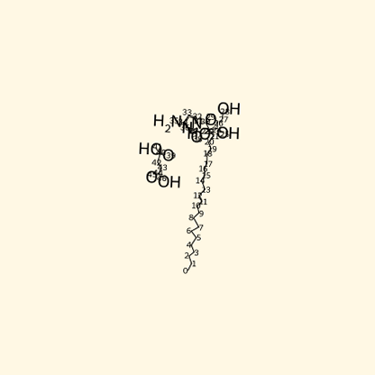 CCCCCCCCCCCCCCCCCCCCCC[C@@]1(O)[C@H](O)[C@@H](CO)O[C@H]1n1ccc(N)nc1=O.O=C(O)CCC(=O)O